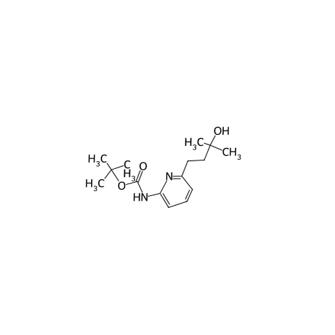 CC(C)(O)CCc1cccc(NC(=O)OC(C)(C)C)n1